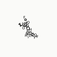 Cn1nc(OC(F)F)cc1Nc1nncn1[C@H]1CCc2sc(NC(=O)[C@H]3C[C@H](F)C3)c(C(=O)N[C@H]3CC34CC4)c2C1